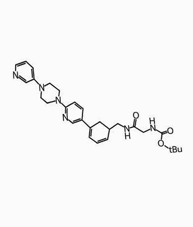 CC(C)(C)OC(=O)NCC(=O)NCC1C=CC=C(c2ccc(N3CCN(c4cccnc4)CC3)nc2)C1